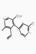 C=Cc1c(C)ncc(C(=O)O)c1-c1ccnc(Cl)c1